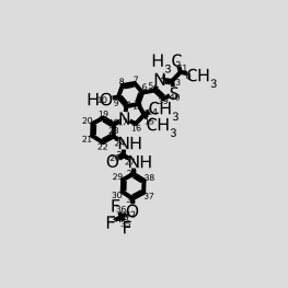 CC(C)c1nc(-c2ccc(O)c3c2C(C)(C)CN3c2ccccc2NC(=O)Nc2ccc(OC(F)(F)F)cc2)cs1